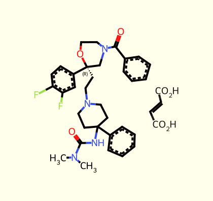 CN(C)C(=O)NC1(c2ccccc2)CCN(CC[C@@]2(c3ccc(F)c(F)c3)CN(C(=O)c3ccccc3)CCO2)CC1.O=C(O)C=CC(=O)O